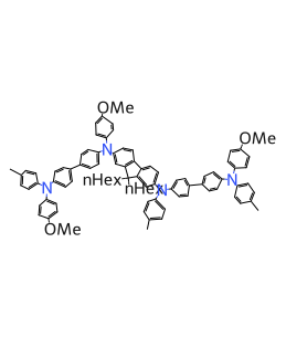 CCCCCCC1(CCCCCC)c2cc(N(c3ccc(C)cc3)c3ccc(-c4ccc(N(c5ccc(C)cc5)c5ccc(OC)cc5)cc4)cc3)ccc2-c2ccc(N(c3ccc(OC)cc3)c3ccc(-c4ccc(N(c5ccc(C)cc5)c5ccc(OC)cc5)cc4)cc3)cc21